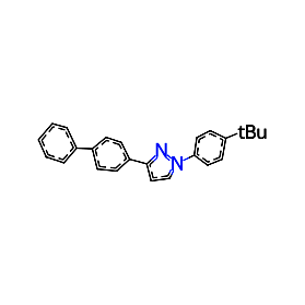 CC(C)(C)c1ccc(-n2ccc(-c3ccc(-c4ccccc4)cc3)n2)cc1